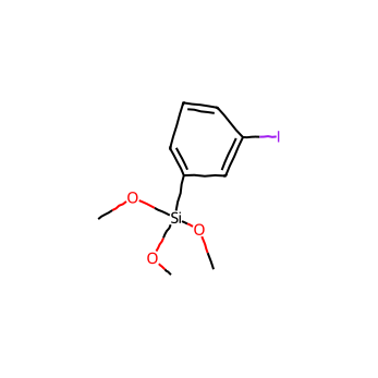 CO[Si](OC)(OC)c1cccc(I)c1